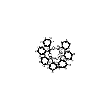 C[Si]1(c2ccccc2)O[Si](c2ccccc2)(c2ccccc2)O[Si](c2ccccc2)(c2ccccc2)O[Si](c2ccccc2)(c2ccccc2)O1